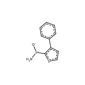 N[S+]([O-])c1sccc1-c1ccccc1